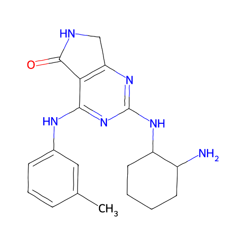 Cc1cccc(Nc2nc(NC3CCCCC3N)nc3c2C(=O)NC3)c1